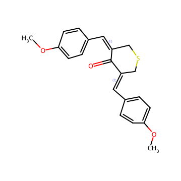 COc1ccc(/C=C2\CSC/C(=C/c3ccc(OC)cc3)C2=O)cc1